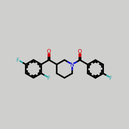 O=C(c1cc(F)ccc1F)C1CCCN(C(=O)c2ccc(F)cc2)C1